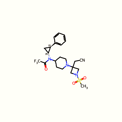 CS(=O)(=O)N1CC(CC#N)(N2CCC(N(C(=O)C(F)(F)F)[C@@H]3C[C@H]3c3ccccc3)CC2)C1